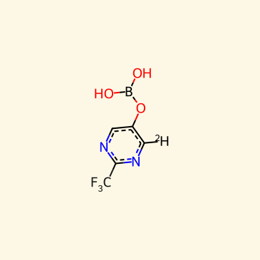 [2H]c1nc(C(F)(F)F)ncc1OB(O)O